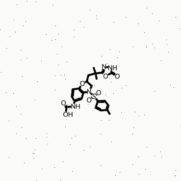 Cc1ccc(S(=O)(=O)N2CC(CC(C)(C)c3n[nH]c(=O)o3)Oc3ccc(NC(=O)O)cc32)cc1